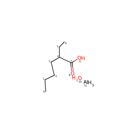 CCCCC(CC)C(=O)O.O.[AlH3]